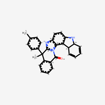 Cc1ccc(C2(C)c3ccccc3C(=O)n3c2nc2ccc4c(c23)C2C=CC=CC2N4)cc1